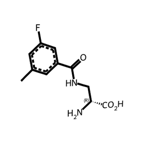 Cc1cc(F)cc(C(=O)NC[C@@H](N)C(=O)O)c1